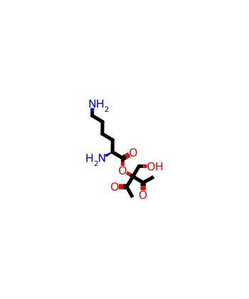 CC(=O)C(CO)(OC(=O)[C@@H](N)CCCCN)C(C)=O